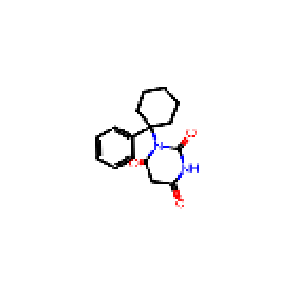 O=C1CC(=O)N(C2(c3ccccc3)CCCCC2)C(=O)N1